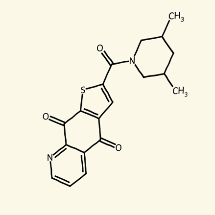 CC1CC(C)CN(C(=O)c2cc3c(s2)C(=O)c2ncccc2C3=O)C1